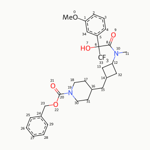 COc1cccc(C(O)(C(=O)N(C)C2CC(CC3CCN(C(=O)OCc4ccccc4)CC3)C2)C(F)(F)F)c1